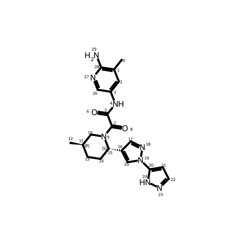 Cc1cc(NC(=O)C(=O)N2C[C@H](C)CC[C@H]2c2cnn(-c3ccn[nH]3)c2)cnc1N